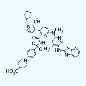 Cc1cc(N(C)c2ccc(-c3cnn(CC4CCCC4)c3C)c(C(=O)NS(=O)(=O)c3ccc(N4CCC(C(=O)O)CC4)cc3)n2)nnc1Nc1nc2cccnc2s1